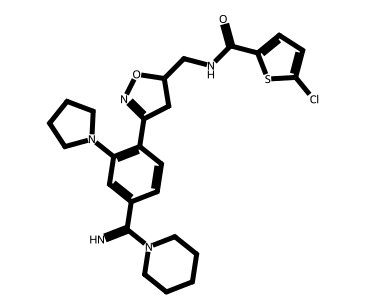 N=C(c1ccc(C2=NOC(CNC(=O)c3ccc(Cl)s3)C2)c(N2CCCC2)c1)N1CCCCC1